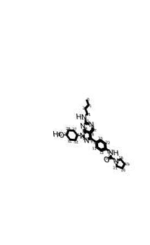 CCCCNc1ncc2c(-c3ccc(NC(=O)N4CCCC4)cc3)nn([C@H]3CC[C@@H](O)CC3)c2n1